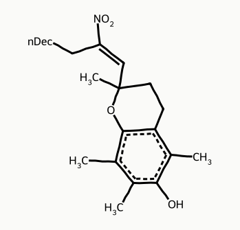 CCCCCCCCCCC/C(=C\C1(C)CCc2c(C)c(O)c(C)c(C)c2O1)[N+](=O)[O-]